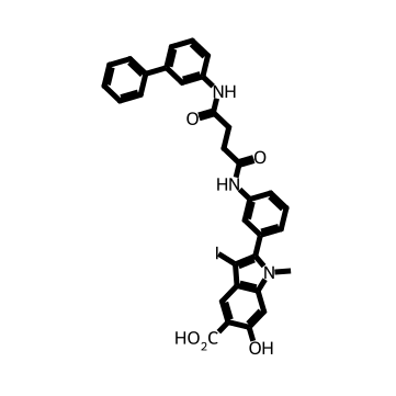 Cn1c(-c2cccc(NC(=O)CCC(=O)Nc3cccc(-c4ccccc4)c3)c2)c(I)c2cc(C(=O)O)c(O)cc21